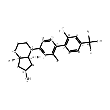 Cc1nc(N2CCO[C@@H]3C[C@H](O)C[C@@H]32)nnc1-c1ccc(C(F)(F)F)cc1O